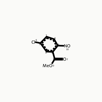 COC(=O)c1cc(Cl)ccc1N=O